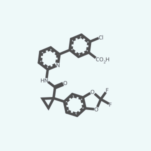 O=C(O)c1cc(-c2cccc(NC(=O)C3(c4ccc5c(c4)OC(F)(F)O5)CC3)n2)ccc1Cl